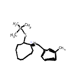 Cc1cccc(/N=C2\CCCCCC2S[Si](C)(C)C)c1